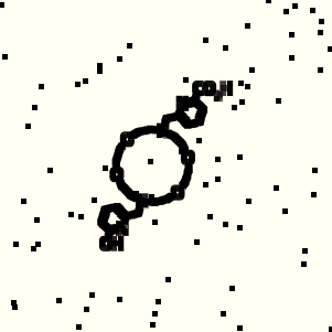 O=C(O)c1cccc(CN2CCOCCOCCN(Cc3cccc(O)n3)CCOCCOCC2)n1